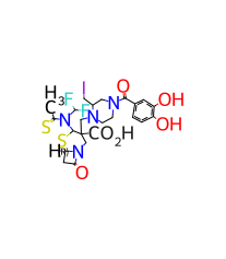 CC(=S)N(C(F)F)C1S[C@@H]2CC(=O)N2CC1(CN1CCN(C(=O)c2ccc(O)c(O)c2)CC1CI)C(=O)O